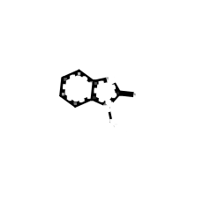 O=c1oc2ccccc2n1[N+](=O)[O-]